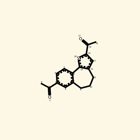 CC(=O)c1ccc2c(c1)CCCc1cc(C(C)=O)sc1-2